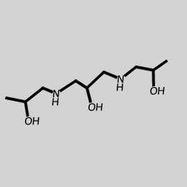 CC(O)CNCC(O)CNCC(C)O